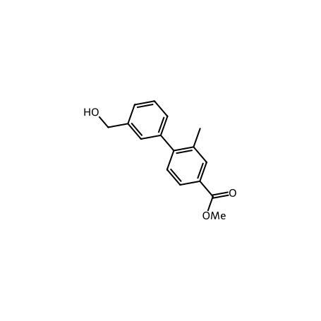 COC(=O)c1ccc(-c2cccc(CO)c2)c(C)c1